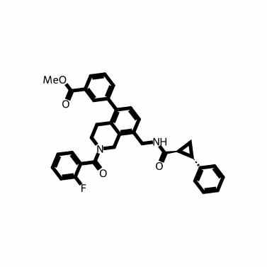 COC(=O)c1cccc(-c2ccc(CNC(=O)[C@H]3C[C@@H]3c3ccccc3)c3c2CCN(C(=O)c2ccccc2F)C3)c1